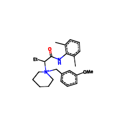 CCC(C(=O)Nc1c(C)cccc1C)[N+]1(Cc2cccc(OC)c2)CCCCC1